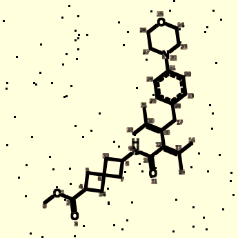 COC(=O)C1CC2(CC(NC(=O)C(=C(C)C)C(Cc3ccc(N4CCOCC4)cc3)=C(C)C)C2)C1